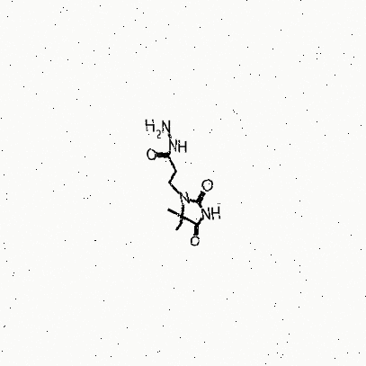 CC1(C)C(=O)NC(=O)N1CCC(=O)NN